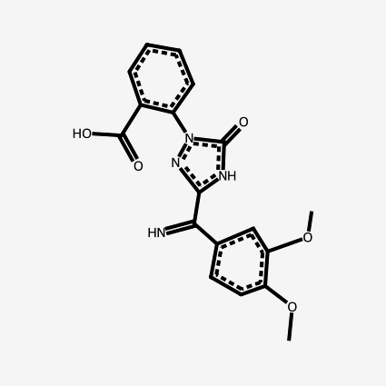 COc1ccc(C(=N)c2nn(-c3ccccc3C(=O)O)c(=O)[nH]2)cc1OC